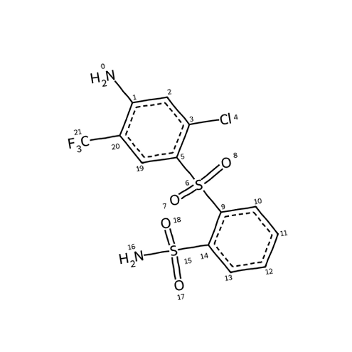 Nc1cc(Cl)c(S(=O)(=O)c2ccccc2S(N)(=O)=O)cc1C(F)(F)F